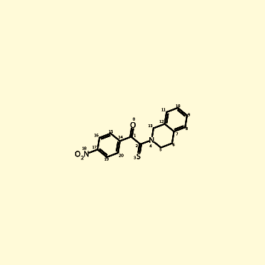 O=C(C(=S)N1CCc2ccccc2C1)c1ccc([N+](=O)[O-])cc1